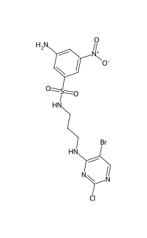 Nc1cc([N+](=O)[O-])cc(S(=O)(=O)NCCCNc2nc(Cl)ncc2Br)c1